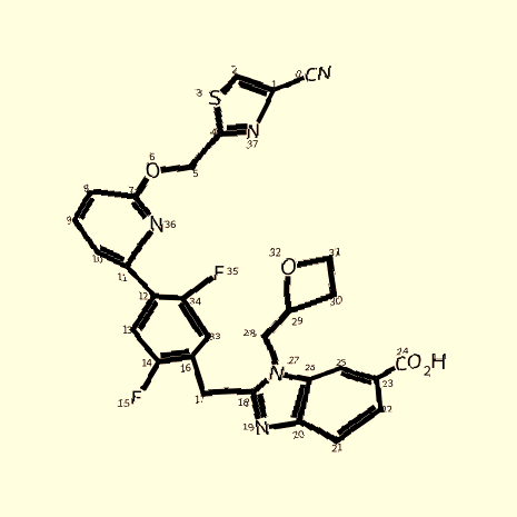 N#Cc1csc(COc2cccc(-c3cc(F)c(Cc4nc5ccc(C(=O)O)cc5n4CC4CCO4)cc3F)n2)n1